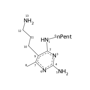 CCCCCNc1nc(N)nc(C)c1CCCN